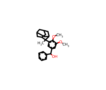 COc1cc(C(O)c2ccccc2)cc(C2(C)C3CC4CC(C3)CC2C4)c1OC